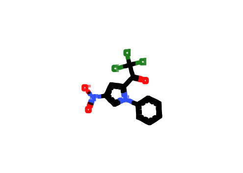 O=C(c1cc([N+](=O)[O-])cn1-c1ccccc1)C(Cl)(Cl)Cl